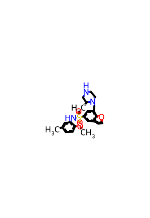 COc1ccc(C)cc1NS(=O)(=O)c1cc(CN2CCNCC2C)c2occc2c1